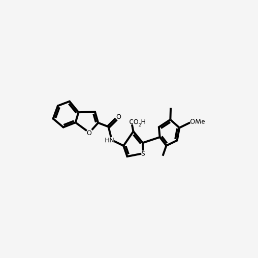 COc1cc(C)c(-c2scc(NC(=O)c3cc4ccccc4o3)c2C(=O)O)cc1C